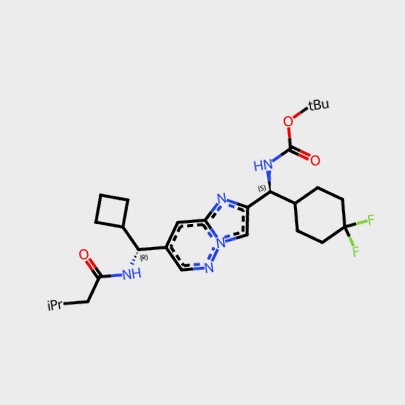 CC(C)CC(=O)N[C@@H](c1cnn2cc([C@@H](NC(=O)OC(C)(C)C)C3CCC(F)(F)CC3)nc2c1)C1CCC1